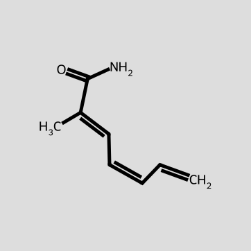 C=C/C=C\C=C(/C)C(N)=O